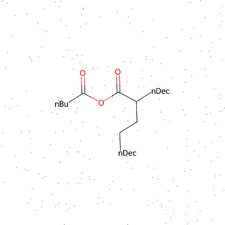 CCCCCCCCCCCCC(CCCCCCCCCC)C(=O)OC(=O)CCCC